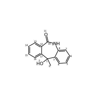 CC1(O)c2ccccc2NC(=O)c2ccccc21